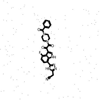 N#CCc1nnc(-c2ccc(F)c3c(C(=O)C(=O)N4CCN(C(=O)c5ccccc5)CC4)c[nH]c23)[nH]1